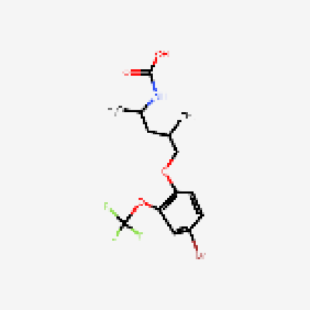 CC(COc1ccc(Br)cc1OC(F)(F)F)CC(C)NC(=O)O